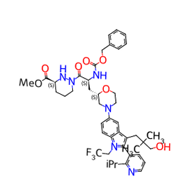 COC(=O)[C@@H]1CCCN(C(=O)[C@H](C[C@H]2CN(c3ccc4c(c3)c(CC(C)(C)CO)c(-c3cccnc3C(C)C)n4CC(F)(F)F)CCO2)NC(=O)OCc2ccccc2)N1